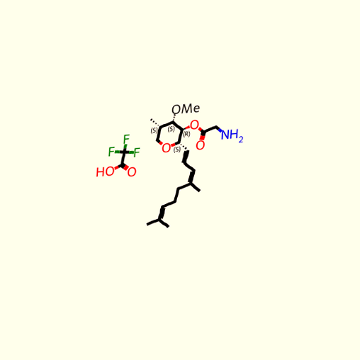 CO[C@@H]1[C@@H](OC(=O)CN)[C@H](C=CC=C(C)CCC=C(C)C)OC[C@@H]1C.O=C(O)C(F)(F)F